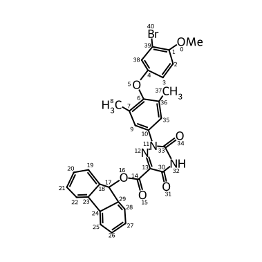 COc1ccc(Oc2c(C)cc(-n3nc(C(=O)OC4c5ccccc5-c5ccccc54)c(=O)[nH]c3=O)cc2C)cc1Br